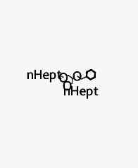 CCCCCCCOCC(COCCCCCCC)OCc1ccccc1